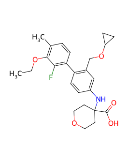 CCOc1c(C)ccc(-c2ccc(NC3(C(=O)O)CCOCC3)cc2COC2CC2)c1F